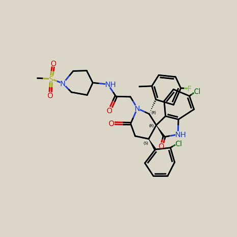 Cc1ccc(F)cc1[C@H]1N(CC(=O)NC2CCN(S(C)(=O)=O)CC2)C(=O)C[C@H](c2ccccc2Cl)[C@]12C(=O)Nc1cc(Cl)ccc12